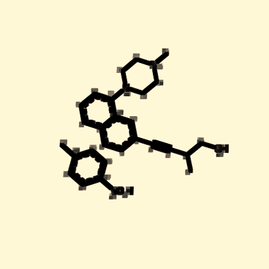 CC(C#Cc1ccc2cccc(N3CCN(C)CC3)c2c1)CO.Cc1ccc(S(=O)(=O)O)cc1